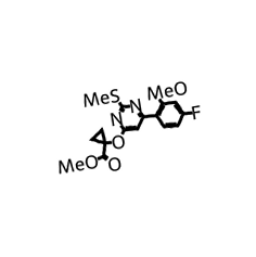 COC(=O)C1(Oc2cc(-c3ccc(F)cc3OC)nc(SC)n2)CC1